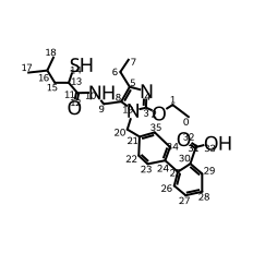 CCOc1nc(CC)c(CNC(=O)C(S)CC(C)C)n1Cc1ccc(-c2ccccc2C(=O)O)cc1